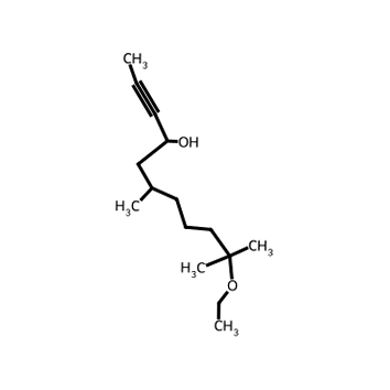 CC#CC(O)CC(C)CCCC(C)(C)OCC